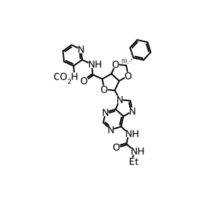 CCNC(=O)Nc1ncnc2c1ncn2C1OC(C(=O)Nc2ncccc2C(=O)O)C2O[C@H](c3ccccc3)OC21